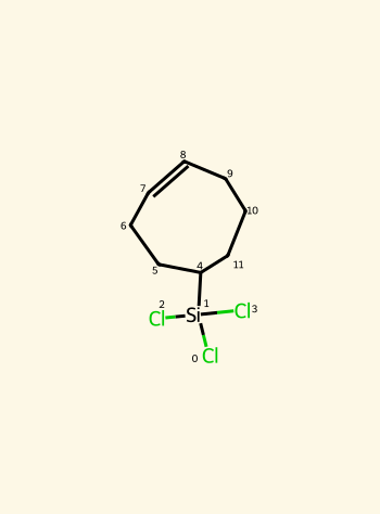 Cl[Si](Cl)(Cl)C1CCC=CCCC1